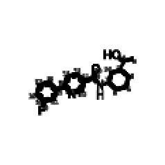 CC(O)[C@H]1CCC[C@@H](NC(=O)c2ccc(-c3cccc(F)c3)nc2)C1